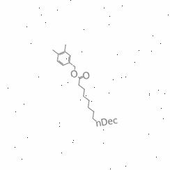 CCCCCCCCCCCCCCCCCC(=O)OCc1ccc(C)c(C)c1